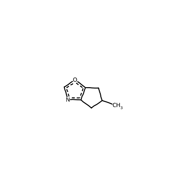 CC1Cc2ncoc2C1